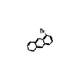 Brc1cccc2cc3c(cc12)C=CCC3